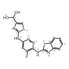 Cc1cc(Nc2nc(C(O)O)cs2)nnc1Nc1nc2ccccc2s1